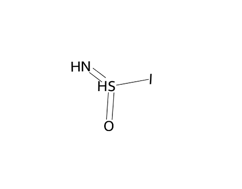 N=[SH](=O)I